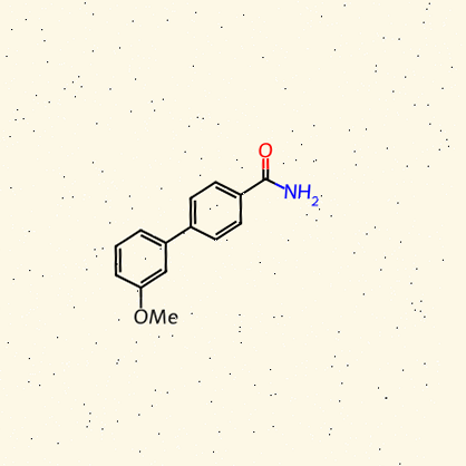 COc1cccc(-c2ccc(C(N)=O)cc2)c1